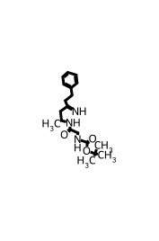 C[C@H](CC(=N)CCc1ccccc1)NC(=O)CNC(=O)OC(C)(C)C